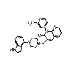 Cc1cccc(-n2c(=O)c(CN3CCN(c4cccc5[nH]ccc45)CC3)cc3cccnc32)c1